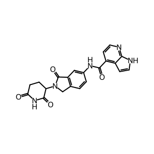 O=C1CCC(N2Cc3ccc(NC(=O)c4ccnc5[nH]ccc45)cc3C2=O)C(=O)N1